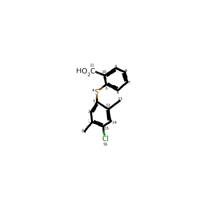 Cc1cc(Sc2ccccc2C(=O)O)c(C)cc1Cl